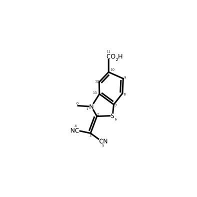 CN1C(=C(C#N)C#N)Sc2ccc(C(=O)O)cc21